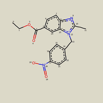 CCOC(=O)c1ccc2nc(C)n(Cc3ccc([N+](=O)[O-])cc3)c2c1